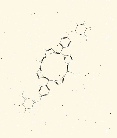 CCCCCCc1c2nc(c(-c3ccc(OC4OC(COC(C)=O)C(OC(C)=O)C(OC(C)=O)C4OC(C)=O)cc3)c3ccc([nH]3)c(CCCCCC)c3nc(c(-c4ccc(OC5OC(COC(C)=O)C(OC(C)=O)C(OC(C)=O)C5OC(C)=O)cc4)c4ccc1[nH]4)C=C3)C=C2